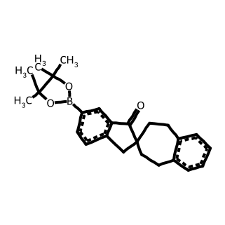 CC1(C)OB(c2ccc3c(c2)C(=O)C2(CCc4ccccc4CC2)C3)OC1(C)C